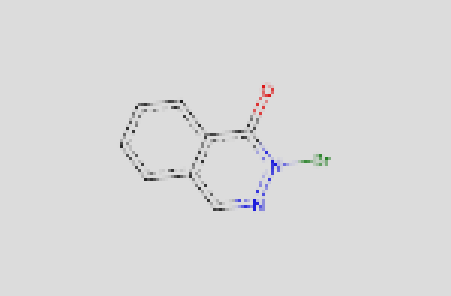 O=c1c2ccccc2cnn1Br